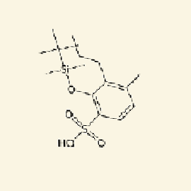 CCCc1c(C)ccc(S(=O)(=O)O)c1O[Si](C)(C)C(C)(C)C